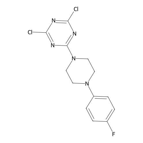 Fc1ccc(N2CCN(c3nc(Cl)nc(Cl)n3)CC2)cc1